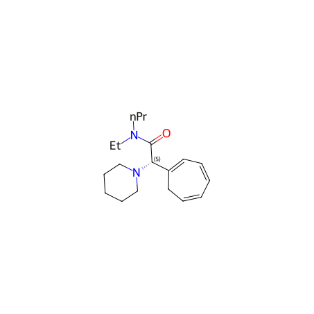 CCCN(CC)C(=O)[C@H](C1=CC=CC=CC1)N1CCCCC1